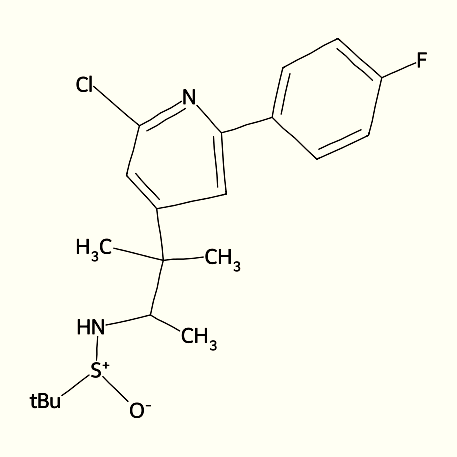 CC(N[S+]([O-])C(C)(C)C)C(C)(C)c1cc(Cl)nc(-c2ccc(F)cc2)c1